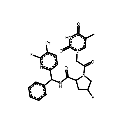 Cc1cn(CC(=O)N2CC(F)CC2C(=O)NC(c2ccccc2)c2ccc(C(C)C)c(F)n2)c(=O)[nH]c1=O